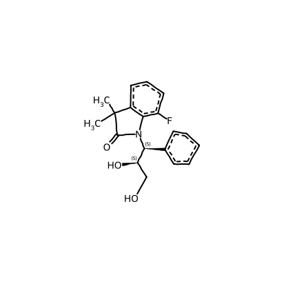 CC1(C)C(=O)N([C@@H](c2ccccc2)[C@H](O)CO)c2c(F)cccc21